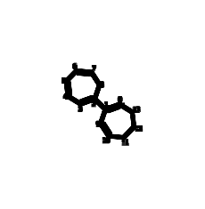 [C]1=C(C2=CC=CC=CC2)C=CCCC1